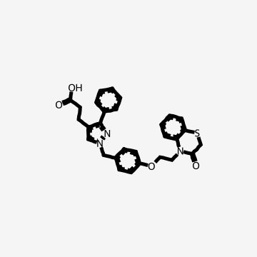 O=C(O)CCc1cn(Cc2ccc(OCCN3C(=O)CSc4ccccc43)cc2)nc1-c1ccccc1